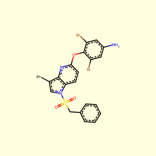 CC(C)c1cn(S(=O)(=O)Cc2ccccc2)c2ccc(Oc3c(Br)cc(N)cc3Br)nc12